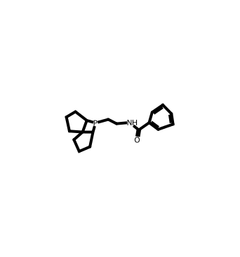 O=C(NCCP1C2CCCC23CCCC13)c1ccccc1